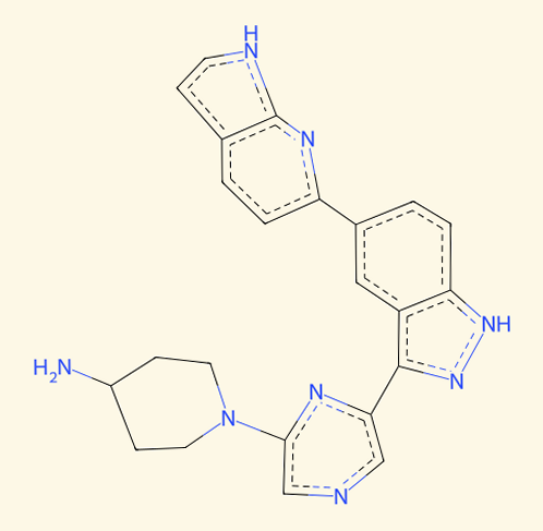 NC1CCN(c2cncc(-c3n[nH]c4ccc(-c5ccc6cc[nH]c6n5)cc34)n2)CC1